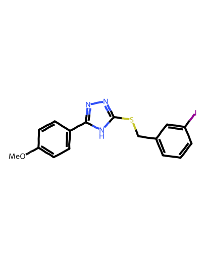 COc1ccc(-c2nnc(SCc3cccc(I)c3)[nH]2)cc1